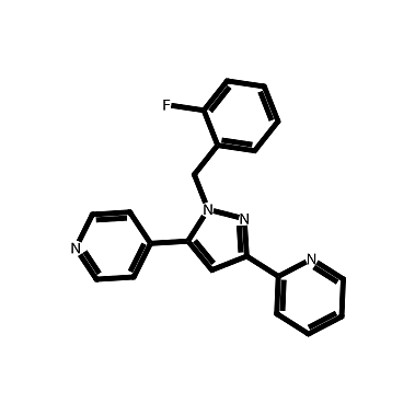 Fc1ccccc1Cn1nc(-c2ccccn2)cc1-c1ccncc1